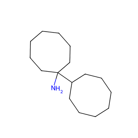 NC1(C2CCCCCCC2)CCCCCCC1